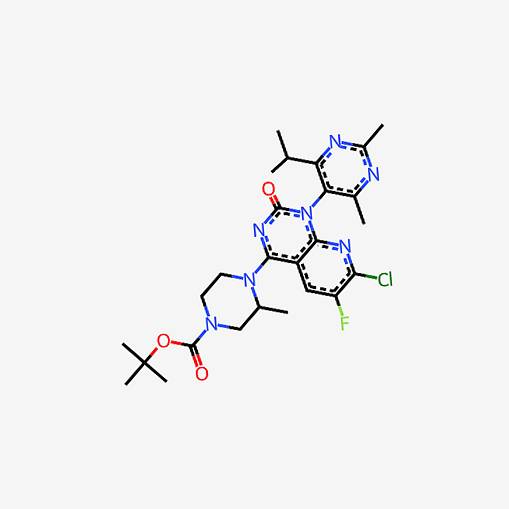 Cc1nc(C)c(-n2c(=O)nc(N3CCN(C(=O)OC(C)(C)C)CC3C)c3cc(F)c(Cl)nc32)c(C(C)C)n1